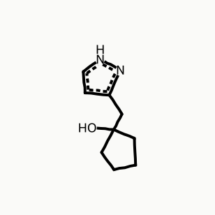 OC1(Cc2cc[nH]n2)CCCC1